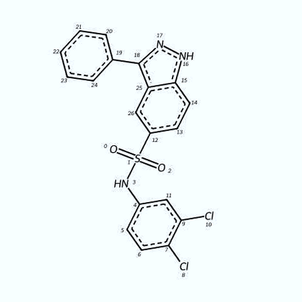 O=S(=O)(Nc1ccc(Cl)c(Cl)c1)c1ccc2[nH]nc(-c3ccccc3)c2c1